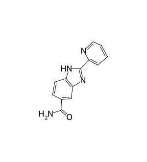 NC(=O)c1ccc2[nH]c(-c3ccccn3)nc2c1